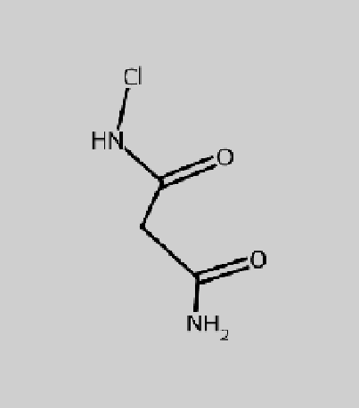 NC(=O)CC(=O)NCl